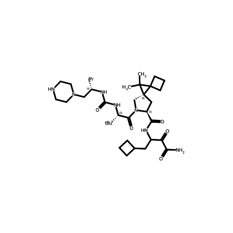 CC(C)[C@@H](CN1CCNCC1)NC(=O)N[C@H](C(=O)N1C[C@]2(C[C@H]1C(=O)NC(CC1CCC1)C(=O)C(N)=O)C(C)(C)C21CCC1)C(C)(C)C